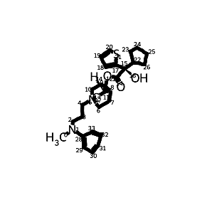 CN(CCC[N+]12CCC(CC1)[C@@H](OC(=O)[C@](O)(c1cccs1)C1CCCC1)C2)c1ccccc1